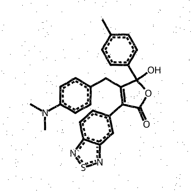 Cc1ccc(C2(O)OC(=O)C(c3ccc4nsnc4c3)=C2Cc2ccc(N(C)C)cc2)cc1